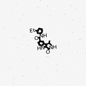 CCc1cccc(NC(=O)c2ccc3[nH]c4c(c3c2)C(C)CNC4=O)c1